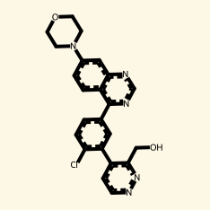 OCc1nnccc1-c1cc(-c2ncnc3cc(N4CCOCC4)ccc23)ccc1Cl